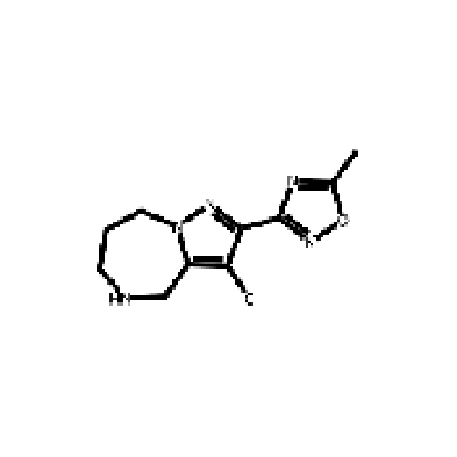 Cc1nc(-c2nn3c(c2Cl)CNCCC3)no1